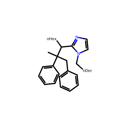 CCCCCCCCCCCn1ccnc1C(CCCCCC)C(C)(Cc1ccccc1)c1ccccc1